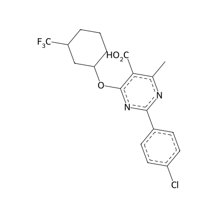 Cc1nc(-c2ccc(Cl)cc2)nc(OC2CCCC(C(F)(F)F)C2)c1C(=O)O